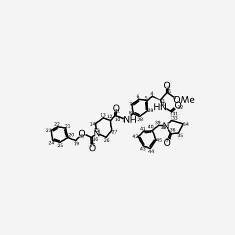 COC(=O)[C@H](Cc1ccc(NC(=O)C2CCN(C(=O)OCc3ccccc3)CC2)cc1)NC(=O)[C@@H]1CCC(=O)N1Cc1ccccc1